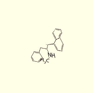 CNC([CH]c1cccc2ccccc12)Cc1ccccc1